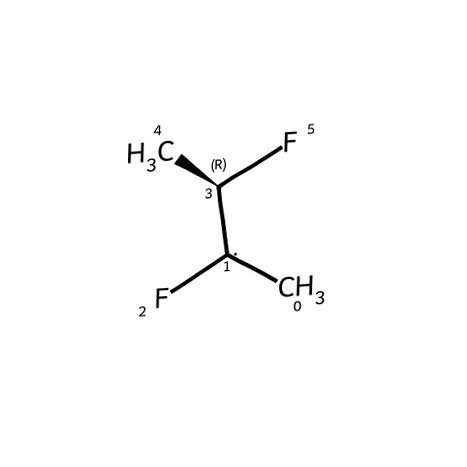 C[C](F)[C@@H](C)F